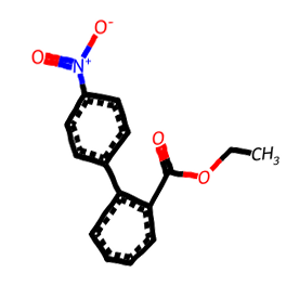 CCOC(=O)c1ccccc1-c1ccc([N+](=O)[O-])cc1